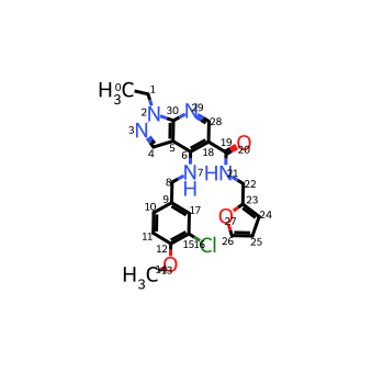 CCn1ncc2c(NCc3ccc(OC)c(Cl)c3)c(C(=O)NCc3ccco3)cnc21